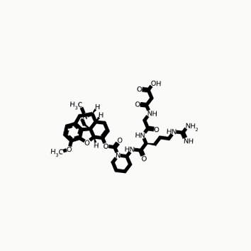 COc1ccc2c3c1O[C@H]1C(OC(=O)N4CCCCC4NC(=O)[C@H](CCCNC(=N)N)NC(=O)CNC(=O)CC(=O)O)=CC[C@H]4[C@@H](C2)N(C)CC[C@]314